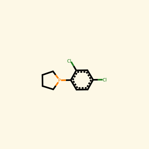 Clc1ccc(P2CCCC2)c(Cl)c1